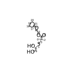 CC(C)(CSCC(O)CO)C(=O)OCCOc1ccccc1